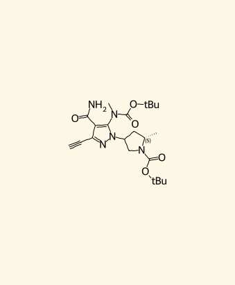 C#Cc1nn(C2C[C@H](C)N(C(=O)OC(C)(C)C)C2)c(N(C)C(=O)OC(C)(C)C)c1C(N)=O